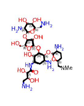 CNC[C@@H]1CC[C@@H](N)[C@@H](O[C@H]2[C@H](O[C@@H]3O[C@H](CO)[C@@H](O[C@H]4O[C@@H](CN)[C@@H](O)[C@H](O)[C@H]4N)[C@H]3O)[C@@H](O)[C@H](NC(=O)[C@@H](O)[C@@H](O)CN)C[C@@H]2N)O1